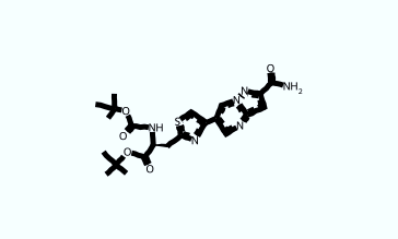 CC(C)(C)OC(=O)N[C@@H](Cc1nc(-c2cnc3cc(C(N)=O)nn3c2)cs1)C(=O)OC(C)(C)C